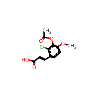 COc1ccc(C=CC(=O)O)c(Cl)c1OC(C)=O